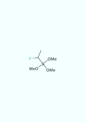 CO[Si](OC)(OC)C(C)F